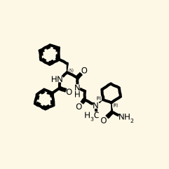 CN(C(=O)CNC(=O)[C@H](Cc1ccccc1)NC(=O)c1ccccc1)[C@@H]1CCCC[C@H]1C(N)=O